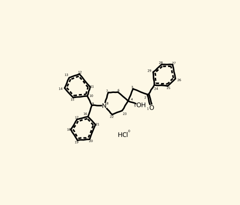 Cl.O=C(CC1(O)CCN(C(c2ccccc2)c2ccccc2)CC1)c1ccccc1